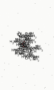 CC(=O)NCC(=O)N[C@H](CCCNC(=N)N)C(=O)N[C@H](CCCNC(=N)N)C(=O)N[C@H](CCCNC(=N)N)C(=O)N[C@H](CCCNC(=N)N)C(=O)N[C@H](CCCNC(=N)N)C(=O)N[C@H](CCCNC(=N)N)C(=O)N[C@H](CCCNC(=N)N)C(=O)N[C@H](Cc1c[nH]c2ccccc12)C(=O)N[C@H](CS)C(N)=O